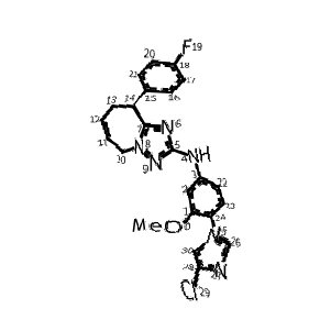 COc1cc(Nc2nc3n(n2)CC=CC[C@H]3c2ccc(F)cc2)ccc1-n1cnc(Cl)c1